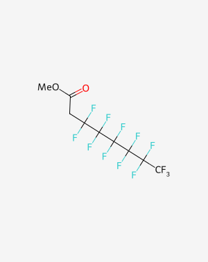 COC(=O)CC(F)(F)C(F)(F)C(F)(F)C(F)(F)C(F)(F)C(F)(F)F